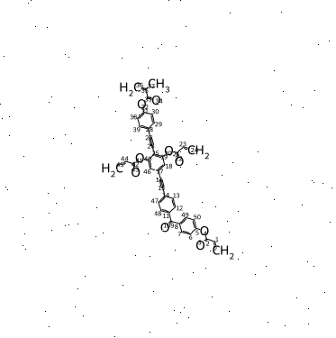 C=CC(=O)Oc1ccc(C(=O)c2ccc(C#Cc3cc(OC(=O)C=C)c(C#Cc4ccc(OC(=O)C(=C)C)cc4)c(OC(=O)C=C)c3)cc2)cc1